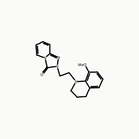 COc1cccc2c1N(CCn1nc3ccccn3c1=O)CCC2